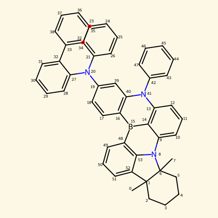 CC12CCCCC1(C)N1c3cccc4c3B(c3ccc(N(c5ccccc5)c5ccccc5-c5ccccc5)cc3N4c3ccccc3)c3cccc2c31